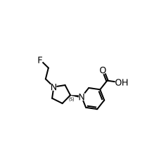 O=C(O)C1=CC=CN([C@H]2CCN(CCF)C2)C1